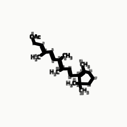 CC(=O)OC/C=C(C)/C=C/C(C)=C(C)/C=C/C1=C(C)CCCC1(C)C